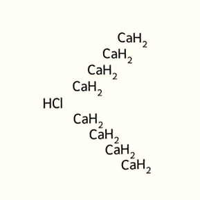 Cl.[CaH2].[CaH2].[CaH2].[CaH2].[CaH2].[CaH2].[CaH2].[CaH2]